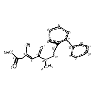 COC(=O)C(O)=CC(=O)N(C)Cc1ccccc1-c1ccccc1